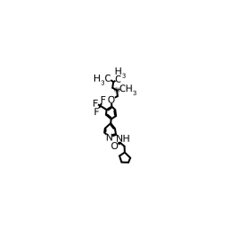 CC(C)C[C@@H](C)COc1ccc(-c2ccnc(NC(=O)CC3CCCC3)c2)cc1C(F)(F)F